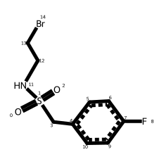 O=S(=O)(Cc1ccc(F)cc1)NCCBr